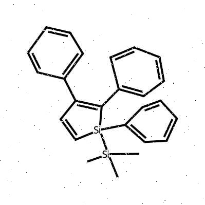 C[Si](C)(C)[Si]1(c2ccccc2)C=CC(c2ccccc2)=C1c1ccccc1